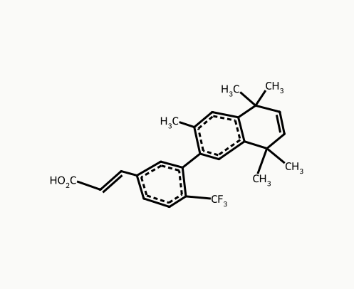 Cc1cc2c(cc1-c1cc(/C=C/C(=O)O)ccc1C(F)(F)F)C(C)(C)C=CC2(C)C